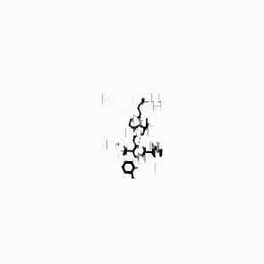 Cc1c(F)cccc1[C@@H]1N=C(c2nccs2)NC(CN2CC(F)(F)[C@H]3[C@@H]2CCN3CCC(C)(C)C(=O)O)=C1C(=O)OC(C)C